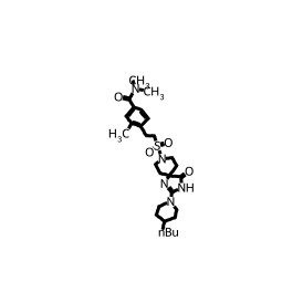 CCCCC1CCN(C2=NC3(CCN(S(=O)(=O)CCc4ccc(C(=O)N(C)C)cc4C)CC3)C(=O)N2)CC1